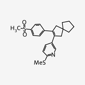 CSc1ccc(C2=C(c3ccc(S(C)(=O)=O)cc3)CC3(CCCC3)C2)cn1